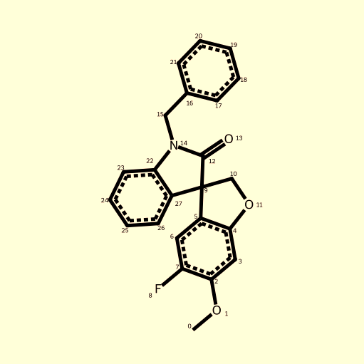 COc1cc2c(cc1F)C1(CO2)C(=O)N(Cc2ccccc2)c2ccccc21